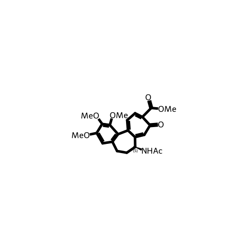 COC(=O)c1ccc2c(cc1=O)[C@@H](NC(C)=O)CCc1cc(OC)c(OC)c(OC)c1-2